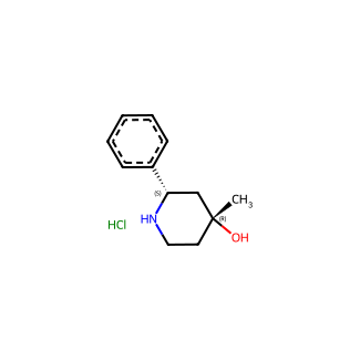 C[C@@]1(O)CCN[C@H](c2ccccc2)C1.Cl